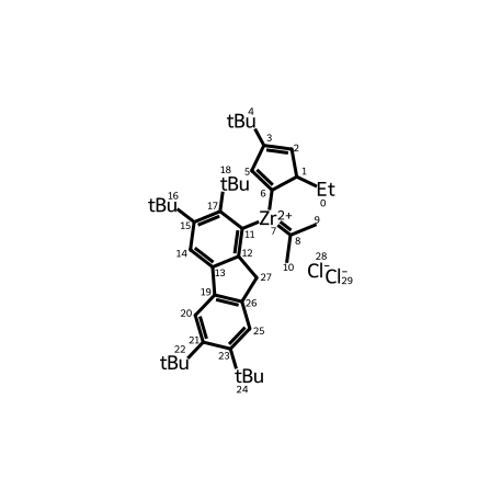 CCC1C=C(C(C)(C)C)C=[C]1[Zr+2](=[C](C)C)[c]1c2c(cc(C(C)(C)C)c1C(C)(C)C)-c1cc(C(C)(C)C)c(C(C)(C)C)cc1C2.[Cl-].[Cl-]